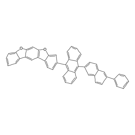 c1ccc(-c2ccc3cc(-c4c5ccccc5c(-c5ccc6c(c5)oc5cc7oc8ccccc8c7cc56)c5ccccc45)ccc3c2)cc1